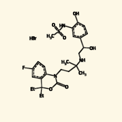 Br.CCC1(CC)OC(=O)N(CCC(C)(C)NCC(O)c2ccc(O)c(NS(C)(=O)=O)c2)c2ccc(F)cc21